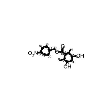 Cc1c(O)cc(O)c(C)c1C(=O)OCc1ccc([N+](=O)[O-])cc1